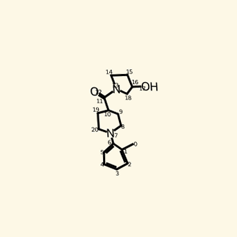 Cc1ccccc1N1CCC(C(=O)N2CCC(O)C2)CC1